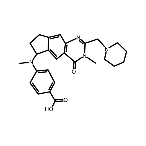 CN(c1ccc(C(=O)O)cc1)C1CCc2cc3nc(CN4CCCCC4)n(C)c(=O)c3cc21